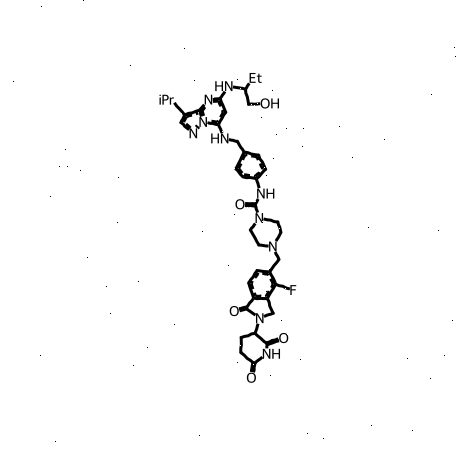 CCC(CO)Nc1cc(NCc2ccc(NC(=O)N3CCN(Cc4ccc5c(c4F)CN(C4CCC(=O)NC4=O)C5=O)CC3)cc2)n2ncc(C(C)C)c2n1